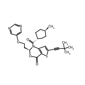 CC(C)(C)C#Cc1cc2c(s1)C(=O)O[C@@H](CCOc1cncnc1)N2C(=O)[C@H]1CC[C@H](C)CC1